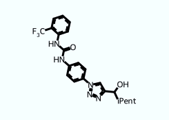 CCCC(C)C(O)c1cn(-c2ccc(NC(=O)Nc3ccccc3C(F)(F)F)cc2)nn1